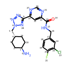 N[C@H]1CC[C@H](Cn2nnc(-c3cc(C(=O)NCc4ccc(F)c(Cl)c4)ncn3)n2)CC1